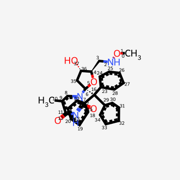 CONC[C@H]1O[C@](n2cc(C)c(=O)[nH]c2=O)(C(c2ccccc2)(c2ccccc2)c2ccccc2)C[C@@H]1O